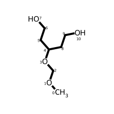 COCOC(CCO)CCO